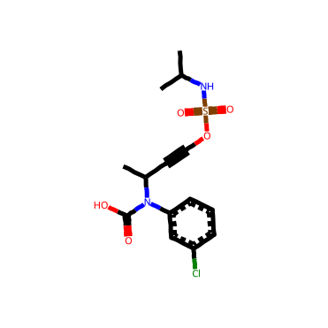 CC(C)NS(=O)(=O)OC#CC(C)N(C(=O)O)c1cccc(Cl)c1